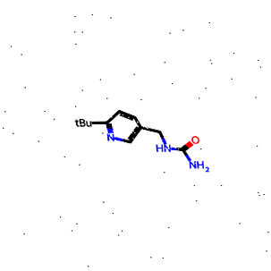 CC(C)(C)c1ccc(CNC(N)=O)cn1